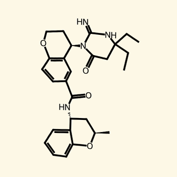 CCC1(CC)CC(=O)N([C@@H]2CCOc3ccc(C(=O)N[C@@H]4C[C@@H](C)Oc5ccccc54)cc32)C(=N)N1